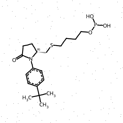 CC(C)(C)c1ccc(N2C(=O)CC[C@@H]2CSCCCCOP(O)O)cc1